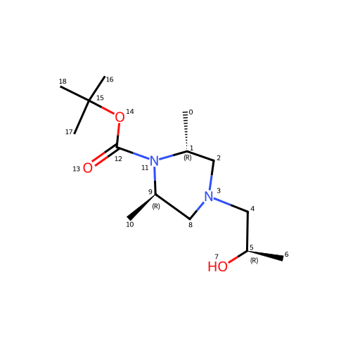 C[C@@H]1CN(C[C@@H](C)O)C[C@@H](C)N1C(=O)OC(C)(C)C